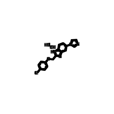 Cl.Cl.Clc1ccc(OCc2nc3cc(-n4ccnc4)ccc3[nH]2)cc1